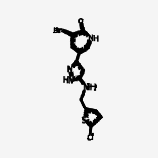 O=c1[nH]cc(-c2cc(NCc3ccc(Cl)s3)[nH]n2)cc1Br